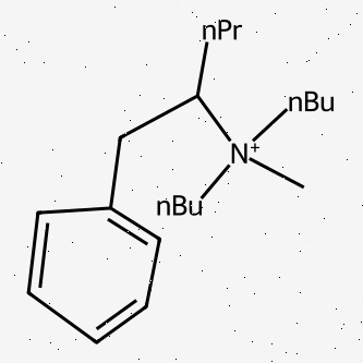 CCCC[N+](C)(CCCC)C(CCC)Cc1ccccc1